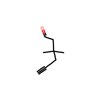 C#CCC(C)(C)C[C]=O